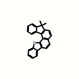 CC1(C)c2ccccc2-c2c1ccc1ccc3c4ccccc4oc3c21